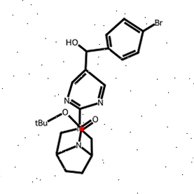 CC(C)(C)OC(=O)N1C2CCC1CN(c1ncc(C(O)c3ccc(Br)cc3)cn1)C2